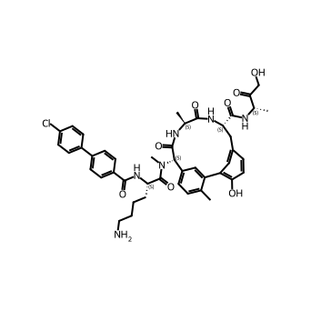 Cc1ccc2cc1-c1cc(ccc1O)C[C@@H](C(=O)N[C@@H](C)C(=O)CO)NC(=O)[C@H](C)NC(=O)[C@H]2N(C)C(=O)[C@H](CCCCN)NC(=O)c1ccc(-c2ccc(Cl)cc2)cc1